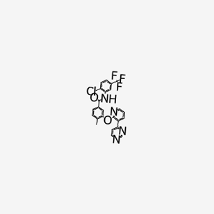 Cc1ccc(C(=O)Nc2cc(C(F)(F)F)ccc2Cl)cc1Oc1ncccc1-c1ccncn1